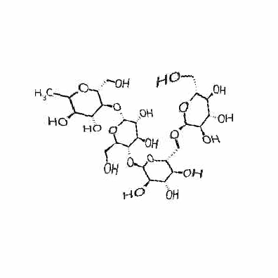 CC1O[C@H](CO)[C@@H](O[C@H]2O[C@H](CO)[C@@H](O[C@H]3O[C@H](CO[C@H]4O[C@H](CO)[C@@H](O)[C@H](O)[C@H]4O)[C@@H](O)[C@H](O)[C@H]3O)[C@H](O)[C@H]2O)[C@H](O)[C@H]1O